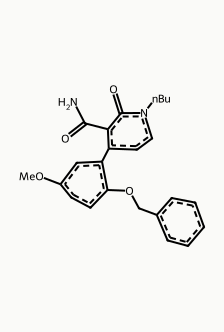 CCCCn1ccc(-c2cc(OC)ccc2OCc2ccccc2)c(C(N)=O)c1=O